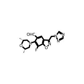 C[C@@H]1CN(c2c(C=O)cc3c(Cn4cncn4)noc3c2F)C[C@H](C)O1